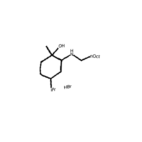 Br.CCCCCCCCCNC1CC(C(C)C)CCC1(C)O